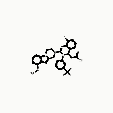 COc1cccc2c1cc1n2CCN(C2=Nc3c(F)cccc3C(CC(=O)O)N2c2cccc(C(F)(F)F)c2)C1